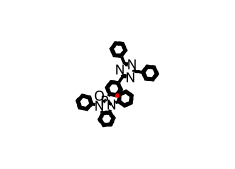 O=P1(c2ccc(-c3nc(-c4ccccc4)nc(-c4ccccc4)n3)cc2)N(c2ccccc2)c2ccccc2N1c1ccccc1